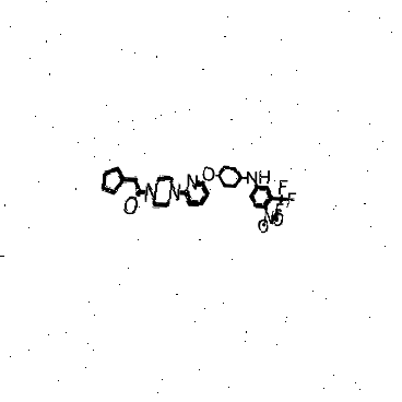 O=C(CC1CCCC1)N1CCN(c2cccc(O[C@H]3CC[C@H](Nc4ccc([N+](=O)[O-])c(C(F)(F)F)c4)CC3)n2)CC1